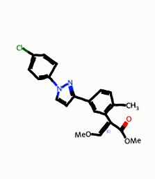 CO/C=C(/C(=O)OC)c1cc(-c2ccn(-c3ccc(Cl)cc3)n2)ccc1C